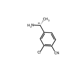 C[C@@H](N)c1ccc(C#N)c(Cl)c1